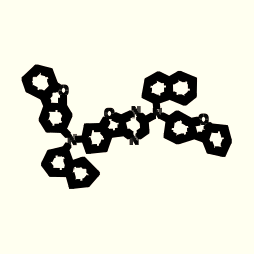 c1ccc2c(N(c3ccc4c(c3)oc3ccccc34)c3ccc4c(c3)oc3nc(N(c5ccc6c(c5)oc5ccccc56)c5cccc6ccccc56)cnc34)cccc2c1